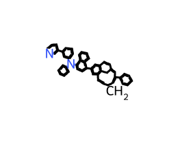 C=C1/C=C\c2cc(-c3ccc(N(c4ccccc4)c4cccc(-c5cccnc5)c4)c4ccccc34)cc3c2C/C(=C\C(c2ccccc2)=C/1)C=C3